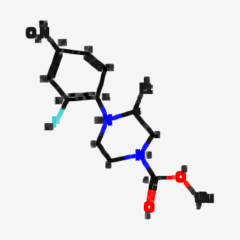 CCC1CN(C(=O)OC(C)(C)C)CCN1c1ccc([N+](=O)[O-])cc1F